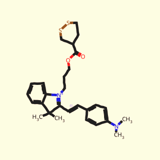 CN(C)c1ccc(/C=C/C2=[N+](CCCOC(=O)C3CCSSC3)c3ccccc3C2(C)C)cc1